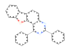 c1ccc(-c2nc(-c3ccccc3)c3c(ccc4c5ccccc5oc43)n2)cc1